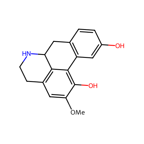 COc1cc2c3c(c1O)-c1cc(O)ccc1CC3NCC2